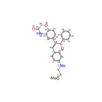 COCCNc1ccc2c(c1)OC(c1ccccc1)C(c1ccc3c(c1)NC(=O)CO3)=C2